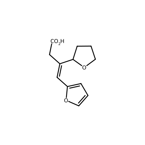 O=C(O)CC(=Cc1ccco1)C1CCCO1